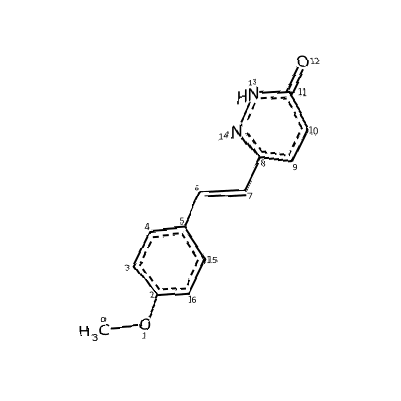 COc1ccc(/C=C/c2ccc(=O)[nH]n2)cc1